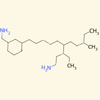 CCC(C)CCC(CCCCCC1CCCC(CN)C1)C(CC)CCN